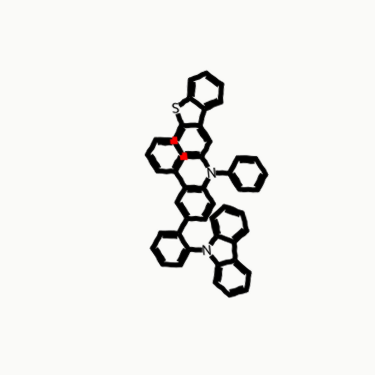 c1ccc(-c2cc(-c3ccccc3-n3c4ccccc4c4ccccc43)ccc2N(c2ccccc2)c2ccc3sc4ccccc4c3c2)cc1